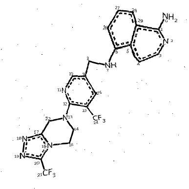 Nc1nccc2c(NCc3cnc(N4CCn5c(nnc5C(F)(F)F)C4)c(C(F)(F)F)c3)cccc12